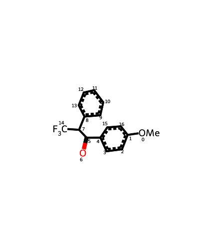 COc1ccc(C(=O)C(c2ccccc2)C(F)(F)F)cc1